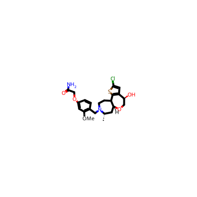 COc1cc(OCC(N)=O)ccc1CN1CCC2c3sc(Cl)cc3[C@@H](O)CO[C@H]2C[C@@H]1C